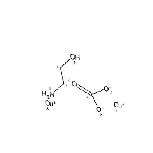 NCCO.O=C([O-])[O-].[Cu+].[Cu+]